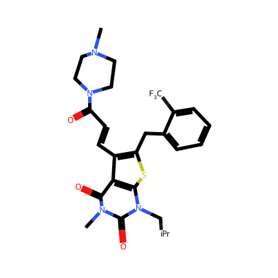 CC(C)Cn1c(=O)n(C)c(=O)c2c(C=CC(=O)N3CCN(C)CC3)c(Cc3ccccc3C(F)(F)F)sc21